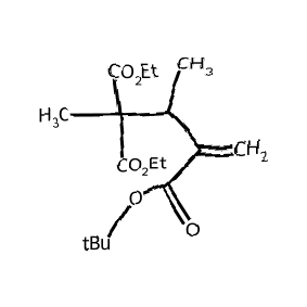 C=C(C(=O)OC(C)(C)C)C(C)C(C)(C(=O)OCC)C(=O)OCC